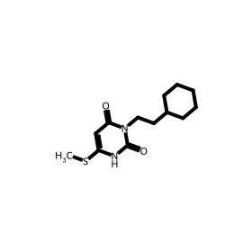 CSc1cc(=O)n(CCC2CCCCC2)c(=O)[nH]1